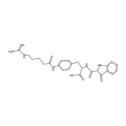 C=C1c2ccccc2NC1C(=O)NC(Cc1ccc(NC(=O)CCCCNC(=N)N)cc1)C(=O)O